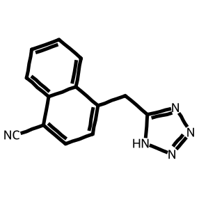 N#Cc1ccc(Cc2nnn[nH]2)c2ccccc12